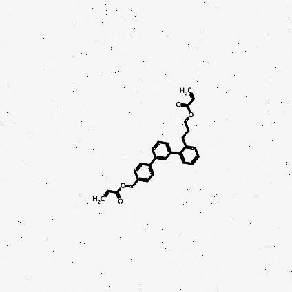 C=CC(=O)OCCCc1ccccc1-c1cccc(-c2ccc(COC(=O)C=C)cc2)c1